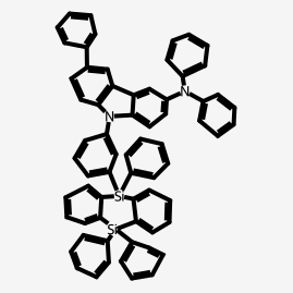 c1ccc(-c2ccc3c(c2)c2cc(N(c4ccccc4)c4ccccc4)ccc2n3-c2cccc([Si]3(c4ccccc4)c4ccccc4[Si](c4ccccc4)(c4ccccc4)c4ccccc43)c2)cc1